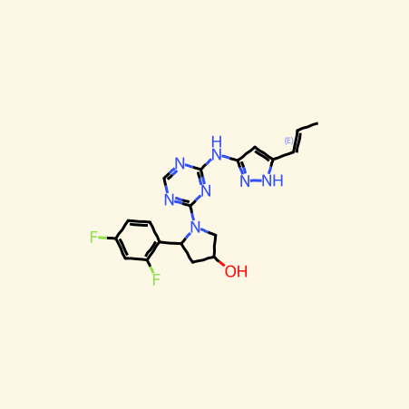 C/C=C/c1cc(Nc2ncnc(N3CC(O)CC3c3ccc(F)cc3F)n2)n[nH]1